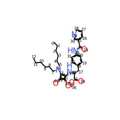 CCCCCCN(CCCCCC)c1c(N[C@@H](Cc2ccc(NC(=O)c3cccnc3)cc2)C(=O)OC)c(=O)c1=O